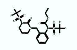 CCOC(=O)N(c1ccccc1CN1CCCN(S(=O)(=O)C(F)(F)F)C1=O)S(=O)(=O)C(F)(F)F